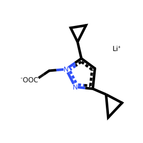 O=C([O-])Cn1nc(C2CC2)cc1C1CC1.[Li+]